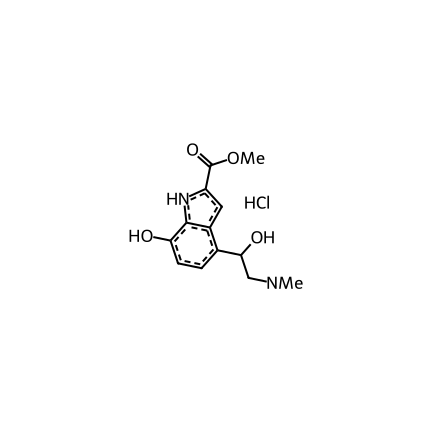 CNCC(O)c1ccc(O)c2[nH]c(C(=O)OC)cc12.Cl